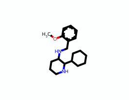 COc1ccccc1CNC1CCCNC1C1CCCCC1